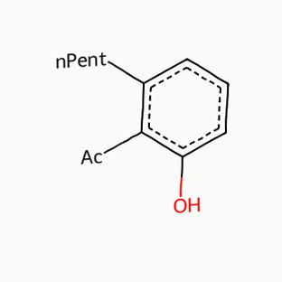 CCCCCc1cccc(O)c1C(C)=O